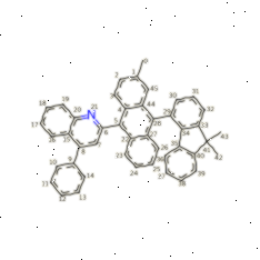 Cc1ccc2c(-c3cc(-c4ccccc4)c4ccccc4n3)c3ccccc3c(-c3cccc4c3-c3ccccc3C4(C)C)c2c1